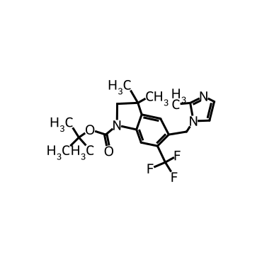 Cc1nccn1Cc1cc2c(cc1C(F)(F)F)N(C(=O)OC(C)(C)C)CC2(C)C